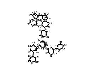 C1=CCC2C(=C1)Oc1c(-c3ccc(-c4cc(-c5cccc(-c6ccccc6)c5)nc(-c5cccc(-c6ccccc6)c5)n4)cc3)cccc1C21c2ccccc2-c2ccccc21